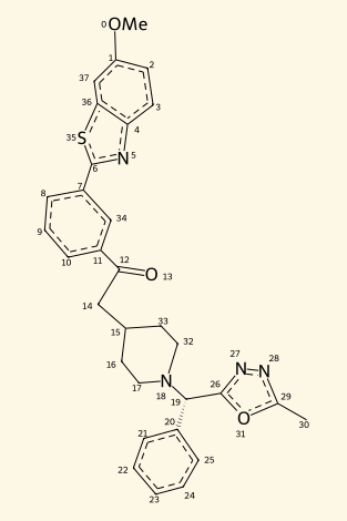 COc1ccc2nc(-c3cccc(C(=O)CC4CCN([C@@H](c5ccccc5)c5nnc(C)o5)CC4)c3)sc2c1